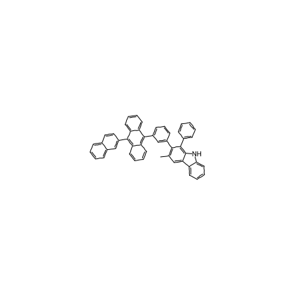 Cc1cc2c([nH]c3ccccc32)c(-c2ccccc2)c1-c1cccc(-c2c3ccccc3c(-c3ccc4ccccc4c3)c3ccccc23)c1